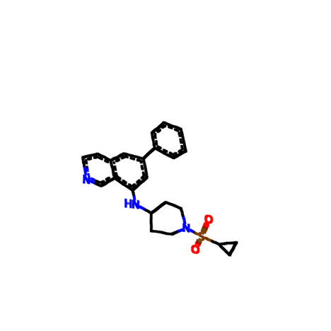 O=S(=O)(C1CC1)N1CCC(Nc2cc(-c3ccccc3)cc3ccncc23)CC1